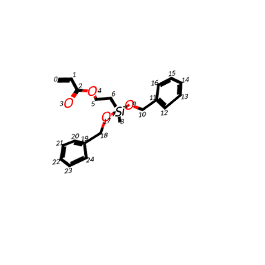 C=CC(=O)OCC[Si](C)(OCc1ccccc1)OCc1ccccc1